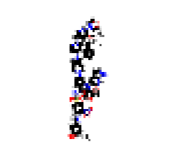 COc1cc(CN2CC[C@@H](N3CC4(CCN(c5ccc(C(=O)NS(=O)(=O)c6ccc(NCC7CCC(C)(O)CC7)c([N+](=O)[O-])c6)c(N6c7cc8cc[nH]c8nc7O[C@H]7COCC[C@@H]76)c5)CC4)C3)[C@H](c3ccccc3C(C)C)C2)cnc1N1CCOCC1